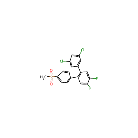 CS(=O)(=O)c1ccc(-c2cc(F)c(F)cc2-c2cc(Cl)cc(Cl)c2)cc1